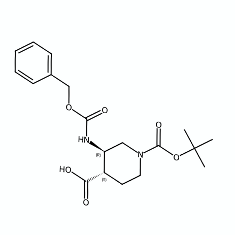 CC(C)(C)OC(=O)N1CC[C@H](C(=O)O)[C@@H](NC(=O)OCc2ccccc2)C1